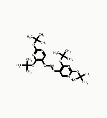 CC(C)(C)Oc1ncc(OBOc2cnc(OC(C)(C)C)nc2OC(C)(C)C)c(OC(C)(C)C)n1